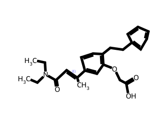 CCN(CC)C(=O)/C=C(\C)c1ccc(CCc2ccccc2)c(OCC(=O)O)c1